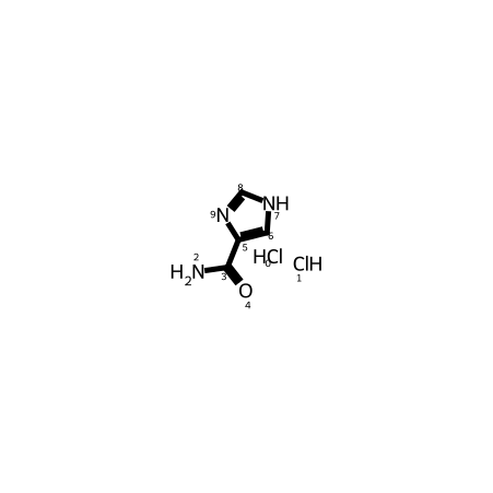 Cl.Cl.NC(=O)c1c[nH]cn1